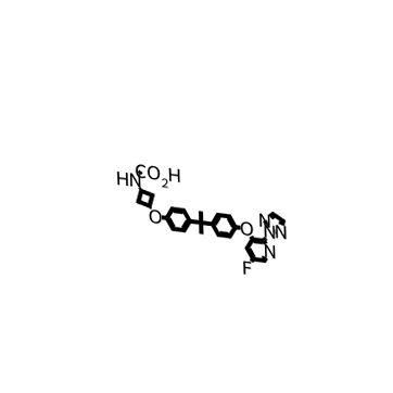 CC(C)(c1ccc(Oc2cc(F)cnc2-n2nccn2)cc1)c1ccc(O[C@H]2C[C@H](NC(=O)O)C2)cc1